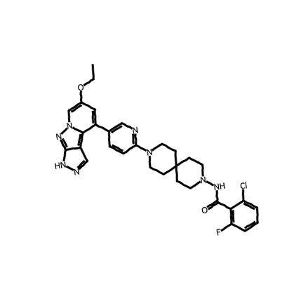 CCOc1cc(-c2ccc(N3CCC4(CCN(NC(=O)c5c(F)cccc5Cl)CC4)CC3)nc2)c2c3cn[nH]c3nn2c1